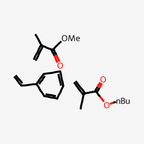 C=C(C)C(=O)OC.C=C(C)C(=O)OCCCC.C=Cc1ccccc1